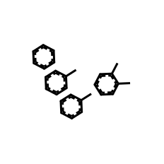 Cc1ccccc1.Cc1ccccc1.Cc1ccccc1C.c1ccccc1